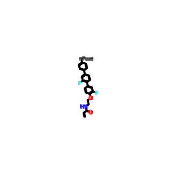 C=CC(=O)NCCOc1ccc(-c2ccc(-c3ccc(CCCCC)cc3)cc2F)cc1F